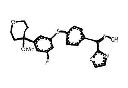 COC1(c2cc(F)cc(Sc3ccc(C(=NO)c4nccs4)cc3)c2)CCOCC1